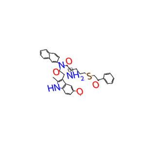 COc1ccc2[nH]c(C)c(CC(=O)N(C(=O)[C@@H](N)CCCSCC(=O)c3ccccc3)c3ccc4ccccc4c3)c2c1